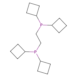 C1CC(P(CCP(C2CCC2)C2CCC2)C2CCC2)C1